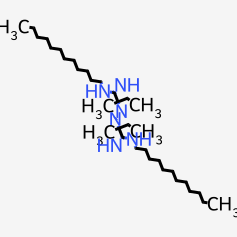 CCCCCCCCCCCCNC(=N)C(C)(CC)N=NC(C)(CC)C(=N)NCCCCCCCCCCCC